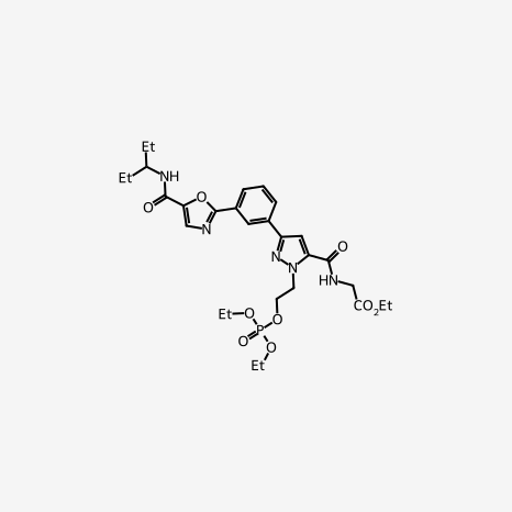 CCOC(=O)CNC(=O)c1cc(-c2cccc(-c3ncc(C(=O)NC(CC)CC)o3)c2)nn1CCOP(=O)(OCC)OCC